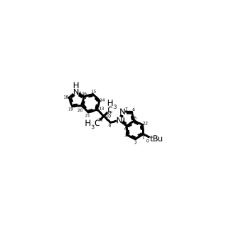 CC(C)(C)c1ccc2c(cnn2CC(C)(C)c2ccc3[nH]ccc3c2)c1